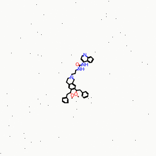 COC(Cc1ccccc1)c1cc2c(cc1C(Cc1ccccc1)OC)CN(CCCNC(=O)Nc1ccnc3ccccc13)CC2